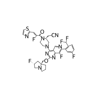 N#CC[C@H]1CN(c2nc(OC[C@@]34CCCN3C[C@H](F)C4)nc3c(F)c(-c4cc(F)ccc4C(F)F)ncc23)CCN1C(=O)/C(F)=C/c1nccs1